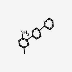 Cc1ccc(N)c(-c2ccc(-c3ccccc3)cc2)c1